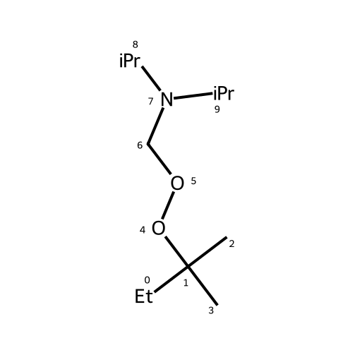 CCC(C)(C)OOCN(C(C)C)C(C)C